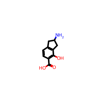 NC1Cc2ccc(C(=O)O)c(O)c2C1